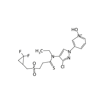 CCN(C(=S)CCS(=O)(=O)CC1CC1(F)F)c1cn(-c2ccc[n+](O)c2)nc1Cl